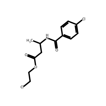 CC(CC(=O)OCCCl)NC(=O)c1ccc(Cl)cc1